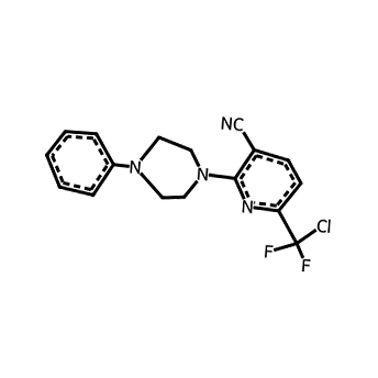 N#Cc1ccc(C(F)(F)Cl)nc1N1CCN(c2ccccc2)CC1